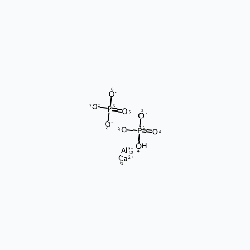 O=P([O-])([O-])O.O=P([O-])([O-])[O-].[Al+3].[Ca+2]